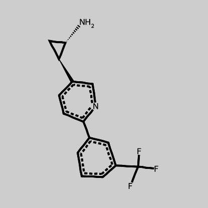 N[C@H]1C[C@@H]1c1ccc(-c2cccc(C(F)(F)F)c2)nc1